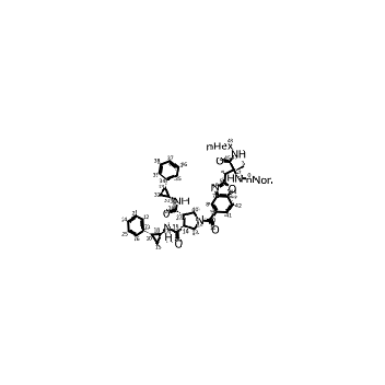 CCCCCCCCCN[C@](C)(Cc1nc2cc(C(=O)N3C[C@@H](C(=O)N[C@H]4C[C@@H]4c4ccccc4)[C@H](C(=O)N[C@H]4C[C@@H]4c4ccccc4)C3)ccc2o1)C(=O)NCCCCCC